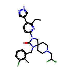 CCc1nc(N2CC3(CCN(CC(F)F)CC3)N(Cc3cccc(F)c3C)C2=O)ccc1-c1cn[nH]c1